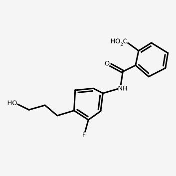 O=C(O)c1ccccc1C(=O)Nc1ccc(CCCO)c(F)c1